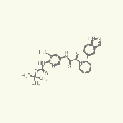 Cc1cc(NC(=O)C(=O)N2CCCC[C@@H]2c2ccc3[nH]ncc3c2)cnc1NC(=O)OC(C)(C)C